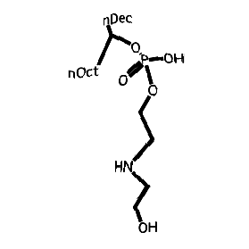 CCCCCCCCCCC(CCCCCCCC)OP(=O)(O)OCCNCCO